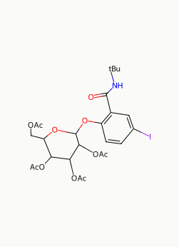 CC(=O)OCC1OC(Oc2ccc(I)cc2C(=O)NC(C)(C)C)C(OC(C)=O)C(OC(C)=O)C1OC(C)=O